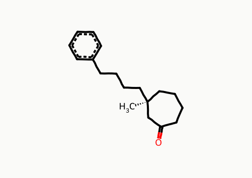 C[C@]1(CCCCc2ccccc2)CCCCC(=O)C1